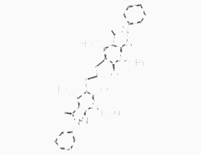 CCCCn1c2nn(-c3ccccc3)c(=O)c-2c(C)c(C=CC=c2c(C)c3c(n(CCCC)c2=O)=NN(c2ccccc2)C3=O)c1O